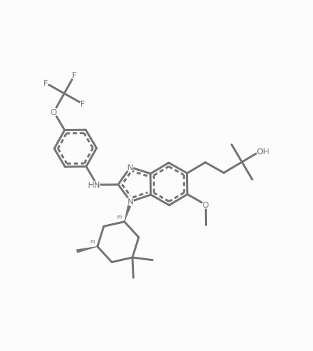 COc1cc2c(cc1CCC(C)(C)O)nc(Nc1ccc(OC(F)(F)F)cc1)n2[C@@H]1C[C@H](C)CC(C)(C)C1